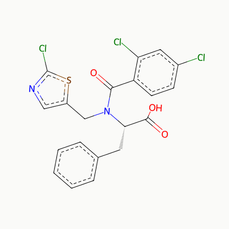 O=C(O)[C@H](Cc1ccccc1)N(Cc1cnc(Cl)s1)C(=O)c1ccc(Cl)cc1Cl